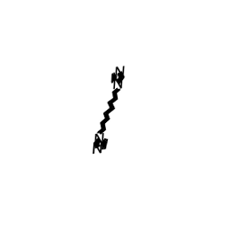 c1cn(CCCCCCCCCCn2ccnc2)cn1